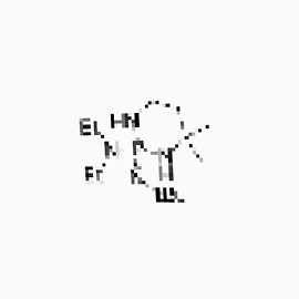 CCN(CC)P1(=NC(C)(C)C)NCCC(C)(C)N1